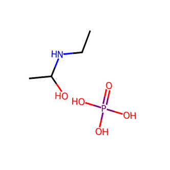 CCNC(C)O.O=P(O)(O)O